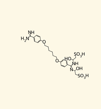 N=C(N)c1ccc(OCCCCCCOc2ccc(C(=NC(O)CS(=O)(=O)O)NC(O)CS(=O)(=O)O)cc2)cc1